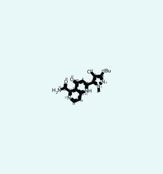 Cn1nc(C(C)(C)C)c(Cl)c1-c1cc(=O)c2c(C(N)=O)nccc2[nH]1